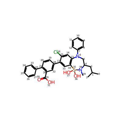 CC(C)CC1CN(c2ccccc2)c2cc(Cl)c(-c3ccc(-c4ccccc4)c(C(=O)O)c3)cc2S(O)(O)N1C